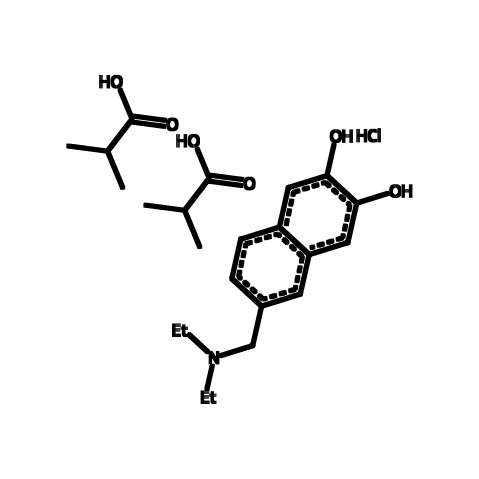 CC(C)C(=O)O.CC(C)C(=O)O.CCN(CC)Cc1ccc2cc(O)c(O)cc2c1.Cl